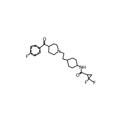 O=C(c1ccc(F)cc1)C1CCN(CCC2CCC(NC(=O)C3CC3(F)F)CC2)CC1